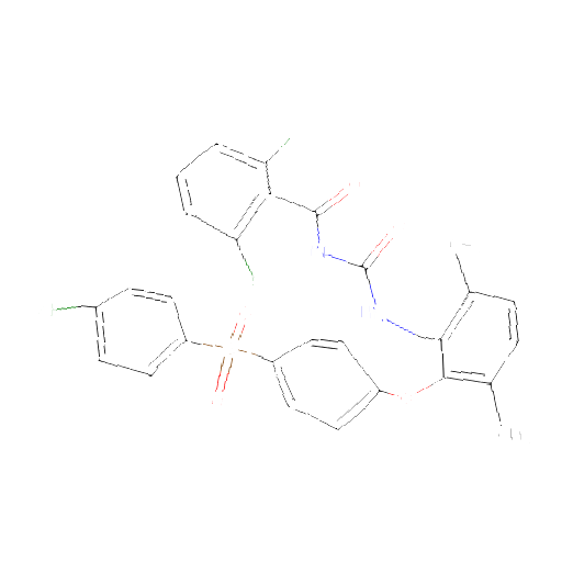 Cc1ccc(C)c(Oc2ccc(S(=O)(=O)c3ccc(Cl)cc3)cc2)c1NC(=O)NC(=O)c1c(F)cccc1F